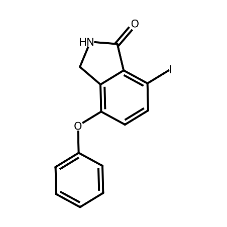 O=C1NCc2c(Oc3ccccc3)ccc(I)c21